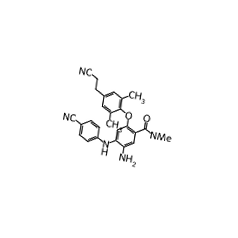 CNC(=O)c1cc(N)c(Nc2ccc(C#N)cc2)cc1Oc1c(C)cc(CCC#N)cc1C